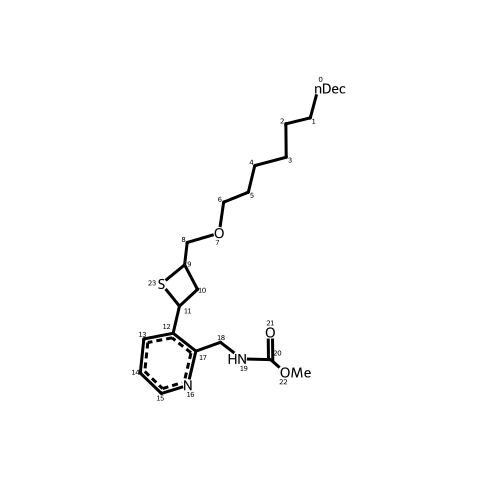 CCCCCCCCCCCCCCCCOCC1CC(c2cccnc2CNC(=O)OC)S1